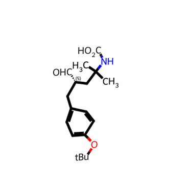 CC(C)(C[C@@H](C=O)Cc1ccc(OC(C)(C)C)cc1)NC(=O)O